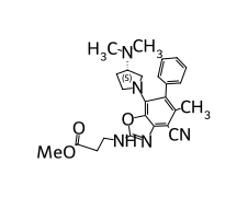 COC(=O)CCNc1nc2c(C#N)c(C)c(-c3ccccc3)c(N3CC[C@H](N(C)C)C3)c2o1